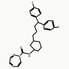 O=C(NC1CCCC(CCCC(c2ccc(F)cc2)c2ccc(F)cc2)C1)N1C=CN=CC=N1